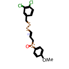 COc1ccc([S+]([O-])C/C=C/SSCc2ccc(Cl)c(Cl)c2)cc1